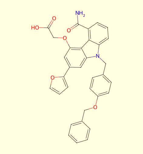 NC(=O)c1cccc2c1c1c(OCC(=O)O)cc(-c3ccco3)cc1n2Cc1ccc(OCc2ccccc2)cc1